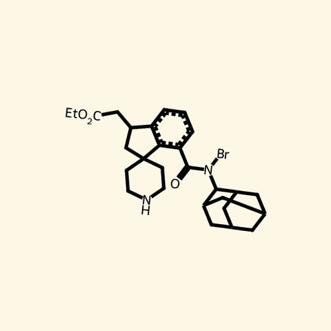 CCOC(=O)CC1CC2(CCNCC2)c2c(C(=O)N(Br)C3C4CC5CC(C4)CC3C5)cccc21